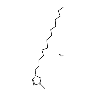 CCCCCCCCCCCCCCN1C=CN(C)C1.[Mn]